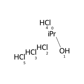 CC(C)O.Cl.Cl.Cl.Cl